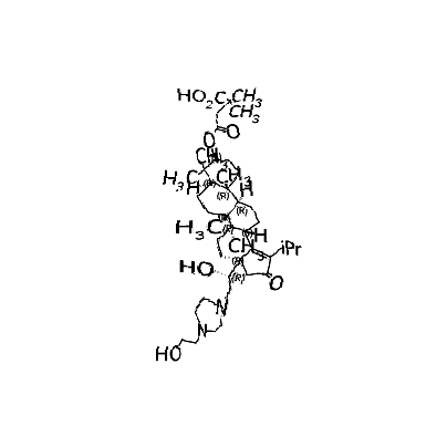 CC(C)C1=C2[C@H]3CC[C@@H]4[C@@]5(C)CC[C@H](OC(=O)CC(C)(C)C(=O)O)C(C)(C)[C@@H]5CC[C@@]4(C)[C@]3(C)CC[C@@]2([C@@H](O)CN2CCN(CCO)CC2)CC1=O